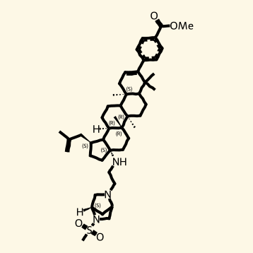 C=C(C)C[C@@H]1CC[C@]2(NCCN3C[C@@H]4CC3CN4S(C)(=O)=O)CC[C@]3(C)[C@H](CCC4[C@@]5(C)CC=C(c6ccc(C(=O)OC)cc6)C(C)(C)C5CC[C@]43C)C12